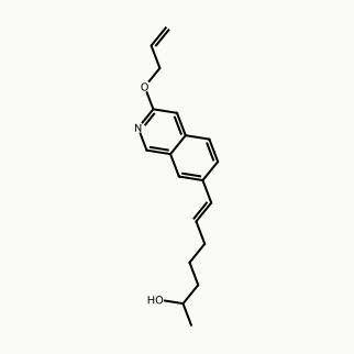 C=CCOc1cc2ccc(C=CCCCC(C)O)cc2cn1